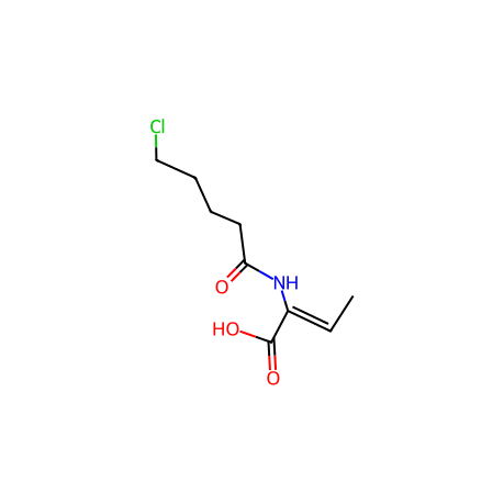 CC=C(NC(=O)CCCCCl)C(=O)O